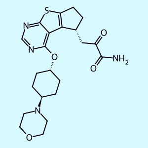 NC(=O)C(=O)C[C@H]1CCc2sc3ncnc(O[C@H]4CC[C@H](N5CCOCC5)CC4)c3c21